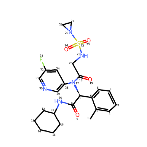 Cc1ccccc1[C@@H](C(=O)NC1CCCCC1)N(C(=O)CNS(=O)(=O)N1CC1)c1cncc(F)c1